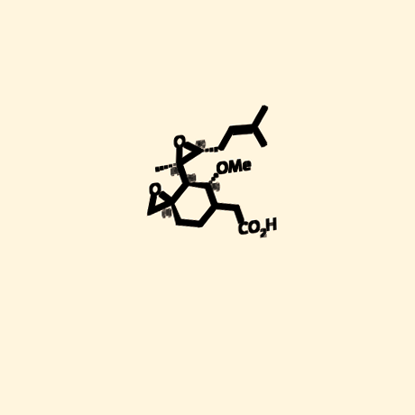 CO[C@@H]1C(CC(=O)O)CC[C@]2(CO2)[C@H]1[C@@]1(C)O[C@@H]1CC=C(C)C